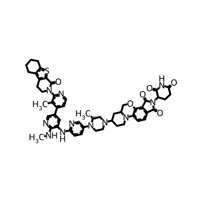 CNc1ncc(-c2ccnc(N3CCc4c(sc5c4CCCC5)C3=O)c2C)cc1Nc1ccc(N2CCN(C3CCN4c5ccc6c(c5OCC4C3)C(=O)N(C3CCC(=O)NC3=O)C6=O)C[C@@H]2C)cn1